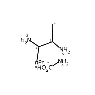 CCCC(N)C(C)N.NC(=O)O